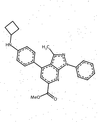 COC(=O)c1cc(-c2ccc(NC3CCC3)cc2)c2c(C)nn(-c3ccccc3)c2n1